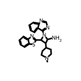 CN1CCC(C2C(N)N(c3ncnc4ccccc34)C2c2nc3ccccc3s2)CC1